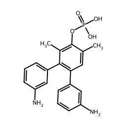 Cc1cc(-c2cccc(N)c2)c(-c2cccc(N)c2)c(C)c1OP(=O)(O)O